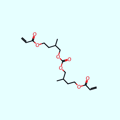 C=CC(=O)OCCC(C)COC(=O)OCC(C)CCOC(=O)C=C